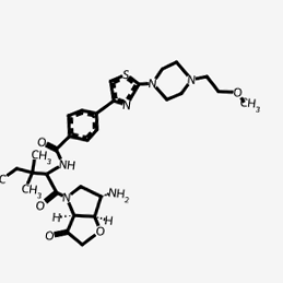 CCC(C)(C)C(NC(=O)c1ccc(-c2csc(N3CCN(CCOC)CC3)n2)cc1)C(=O)N1C[C@H](N)[C@H]2OCC(=O)[C@H]21